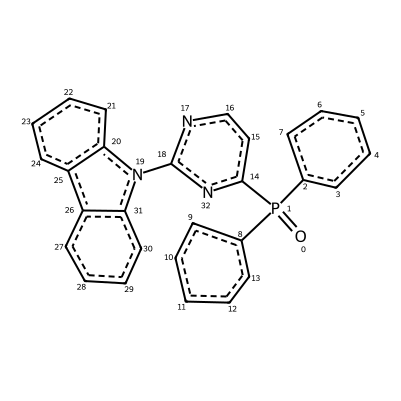 O=P(c1ccccc1)(c1ccccc1)c1ccnc(-n2c3ccccc3c3ccccc32)n1